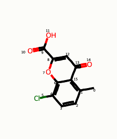 Cc1ccc(Cl)c2oc(C(=O)O)cc(=O)c12